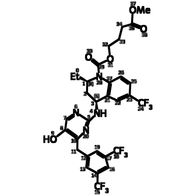 CC[C@@H]1C[C@H](Nc2ncc(O)c(Cc3cc(C(F)(F)F)cc(C(F)(F)F)c3)n2)c2cc(C(F)(F)F)ccc2N1C(=O)OCCCC(=O)OC